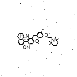 COc1ccc(-c2c(O)ccc3c2CCCC3)c(N)c1Cc1ccc(OCCN2C(C)(C)CCCC2(C)C)c(F)c1